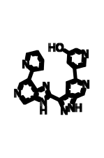 Oc1cncc(-c2cc3c(-c4nc5c(-c6ccccn6)cncc5[nH]4)n[nH]c3cn2)c1